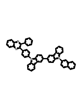 c1ccc(-c2nc3ccccc3nc2-c2ccc(-n3c4ccccc4c4cc(-c5ccc6c(c5)c5ccccc5n6-c5ccc6ccccc6c5)ccc43)cc2)cc1